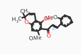 COc1ccccc1/C=C/C(=O)c1c(OC)cc2c(c1O)C=CC(C)(C)O2